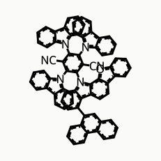 N#Cc1c(-n2c3ccccc3c3ccccc32)c(-n2c3ccccc3c3ccccc32)c(C#N)c(-n2c3cccc(-c4cc5ccccc5c5ccccc45)c3c3ccc4c5ccccc5oc4c32)c1-n1c2ccccc2c2ccccc21